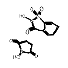 O=C1CCC(=O)N1O.O=C1c2ccccc2S(=O)(=O)N1O